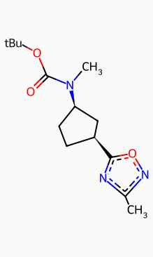 Cc1noc([C@H]2CC[C@@H](N(C)C(=O)OC(C)(C)C)C2)n1